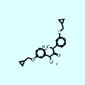 CC(C(=O)C(C)c1cccc(OCC2CC2)c1)c1cccc(OCC2CC2)c1